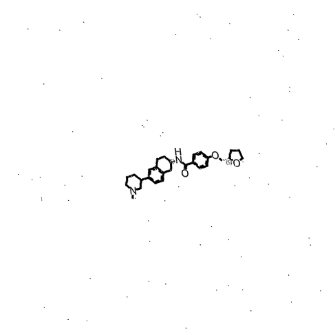 CN1CCCC(c2ccc3c(c2)CC[C@H](NC(=O)c2ccc(OC[C@@H]4CCCO4)cc2)C3)C1